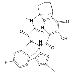 Cc1nn(C)cc1CN(C)C(=O)C(=O)N(C)C12CCC(CC1)Cn1c2nc(C(=O)NCc2ccc(F)cc2)c(O)c1=O